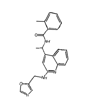 Cc1ccccc1C(=O)NC(C)c1cc(NCc2cnco2)nc2ccccc12